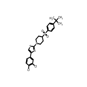 CC(C)(C)c1ccc(S(=O)(=O)C2CCN(c3nc(-c4ccc(Cl)c(Cl)c4)cs3)CC2)cc1